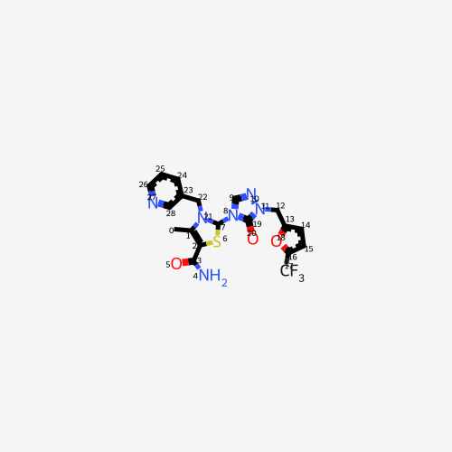 CC1=C(C(N)=O)SC(n2cnn(Cc3ccc(C(F)(F)F)o3)c2=O)N1Cc1cccnc1